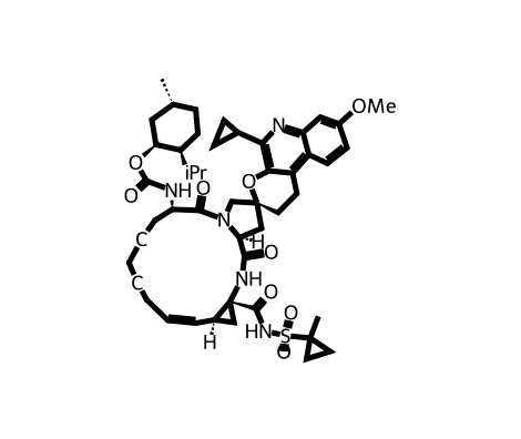 COc1ccc2c3c(c(C4CC4)nc2c1)O[C@]1(CC3)C[C@H]2C(=O)N[C@]3(C(=O)NS(=O)(=O)C4(C)CC4)C[C@H]3/C=C\CCCCC[C@H](NC(=O)O[C@H]3C[C@H](C)CC[C@H]3C(C)C)C(=O)N2C1